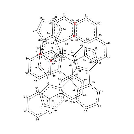 c1ccc(C2(c3ccccc3)c3ccccc3-c3cccc(-n4c5ccccc5c5ccc(-c6ccccc6-c6cccc(N(c7cccc8ccccc78)c7cccc8ccccc78)c6)cc54)c32)cc1